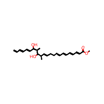 C=C/C=C/C=C/C(O)C(C)C(O)C(C)/C=C/CC/C=C/C=C/C=C/C=C/C(=O)OC